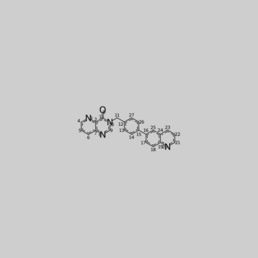 O=c1c2ncccc2ncn1Cc1ccc(-c2ccc3ncccc3c2)cc1